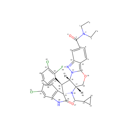 CCN(CC)C(=O)c1ccc2c3n(nc2c1)[C@@H]1[C@H](CO3)N(CC2CC2)[C@@]2(C(=O)Nc3cc(Cl)ccc32)[C@H]1c1cccc(Cl)c1F